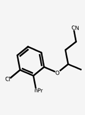 CCCc1c(Cl)cccc1OC(C)CCC#N